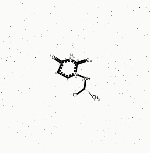 C[C@H](Cl)Nn1ccc(=O)[nH]c1=O